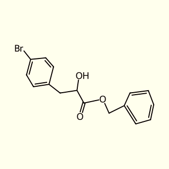 O=C(OCc1ccccc1)C(O)Cc1ccc(Br)cc1